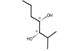 CCC[C@H](O)[C@@H](O)C(C)C